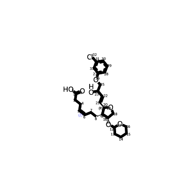 O=C(O)CC/C=C\CC[C@H]1[C@@H](OC2CCCCO2)CO[C@@H]1C=CC(O)COc1cccc(Cl)c1